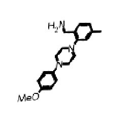 COc1ccc(N2CCN(c3cc(C)ccc3CN)CC2)cc1